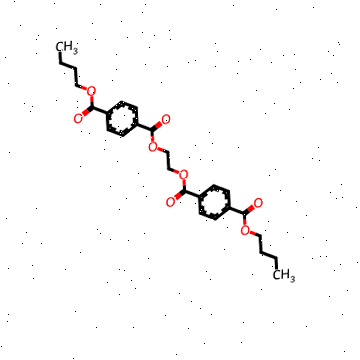 CCCCOC(=O)c1ccc(C(=O)OCCOC(=O)c2ccc(C(=O)OCCCC)cc2)cc1